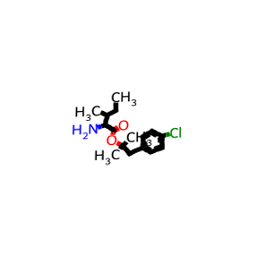 CCC(C)C(N)C(=O)OC(C)(C)Cc1ccc(Cl)cc1